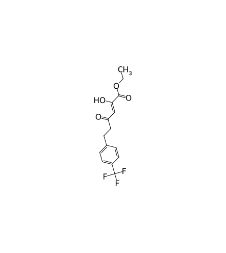 CCOC(=O)/C(O)=C/C(=O)CCc1ccc(C(F)(F)F)cc1